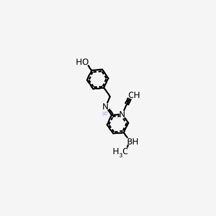 C#Cn1cc(BC)cc/c1=N/Cc1ccc(O)cc1